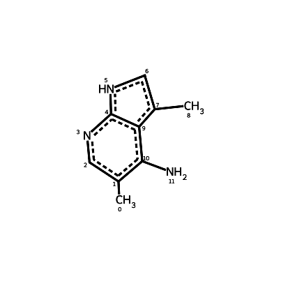 Cc1cnc2[nH]cc(C)c2c1N